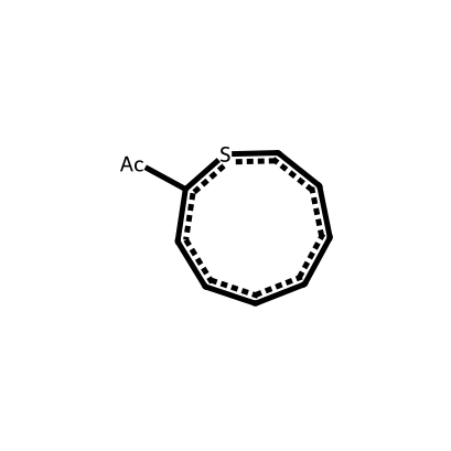 CC(=O)c1cccccccs1